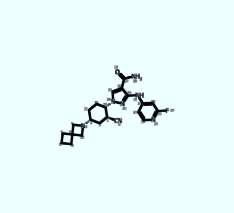 N#C[C@H]1C[C@H](N2CC3(CCC3)C2)CC[C@@H]1n1cc(C(N)=O)c(Nc2ccnc(F)c2)n1